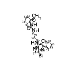 COC1=C(NC(=O)NCCCCNc2cc(-c3ccccc3Cl)nc3c(Br)cnn23)CCC=C1